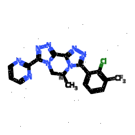 C[C@H]1Cn2c(-c3ncccn3)nnc2-c2nnc(-c3cccc(C(F)(F)F)c3Cl)n21